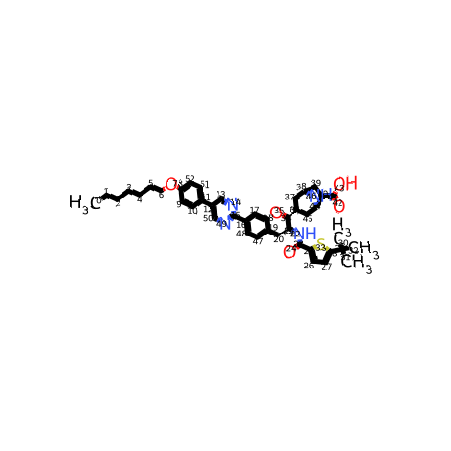 CCCCCCCOc1ccc(-c2cnc(-c3ccc(C[C@H](NC(=O)c4ccc(C(C)(C)C)s4)C(=O)[C@H]4CC5CC(C(=O)O)C(C4)N5)cc3)nc2)cc1